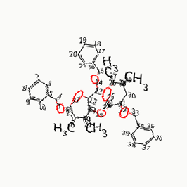 CC1[C@H](OCc2ccccc2)OC(COCc2ccccc2)[C@@H](O[C@@H]2OC(C)[C@@H](C)CC2OCc2ccccc2)[C@@H]1C